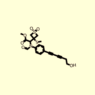 COC(=O)C(N(C=O)c1ccc(C#CC#CCCO)cc1)C1(SC)CS(=O)(=O)C1